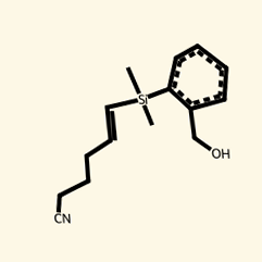 C[Si](C)(C=CCCCC#N)c1ccccc1CO